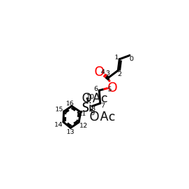 CC=CC(=O)OCC[Si](OC(C)=O)(OC(C)=O)c1ccccc1